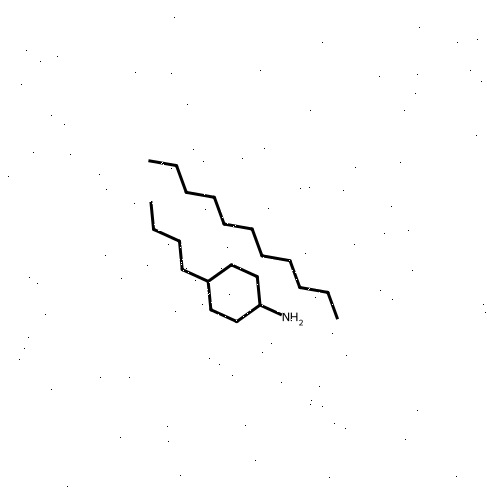 CCCCC1CCC(N)CC1.CCCCCCCCCCC